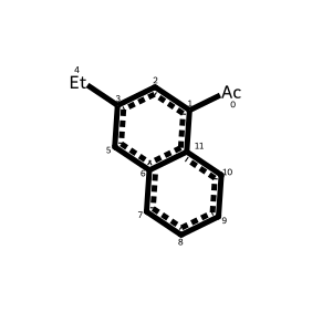 [CH2]C(=O)c1cc(CC)cc2ccccc12